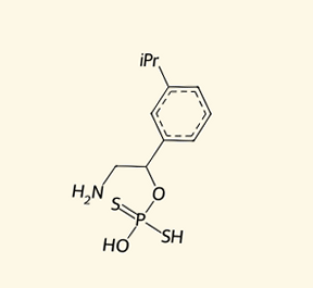 CC(C)c1cccc(C(CN)OP(O)(=S)S)c1